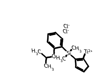 CC(C)Oc1ccccc1[Si](C)(C)C1=[C]([Ti+2])CC=C1.[Cl-].[Cl-]